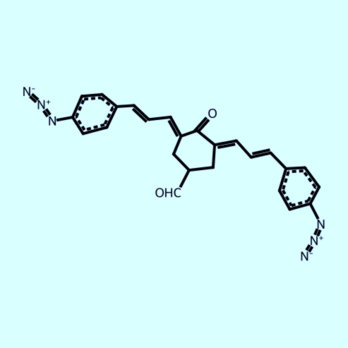 [N-]=[N+]=Nc1ccc(/C=C/C=C2\CC(C=O)C/C(=C\C=C\c3ccc(N=[N+]=[N-])cc3)C2=O)cc1